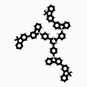 CC1(C)c2ccccc2-c2cc(-c3ccc4c(c3)c3ccccc3n4-c3ccc(-c4cc(-c5ccc(-n6c7ccccc7c7cc(-c8ccc9c(c8)-c8ccccc8C9(C)C)ccc76)cc5)nc(-c5cccc(-n6c7ccccc7c7cc(-c8ccc9c(c8)-c8ccccc8C9(C)C)ccc76)c5)n4)cc3)ccc21